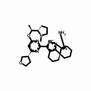 C[C@H](Oc1cc([C@@H]2CCOC2)nc(-c2onc3c2CCC[C@@]32CCCc3sc(N)c(C#N)c32)n1)[C@@H]1CCCN1C